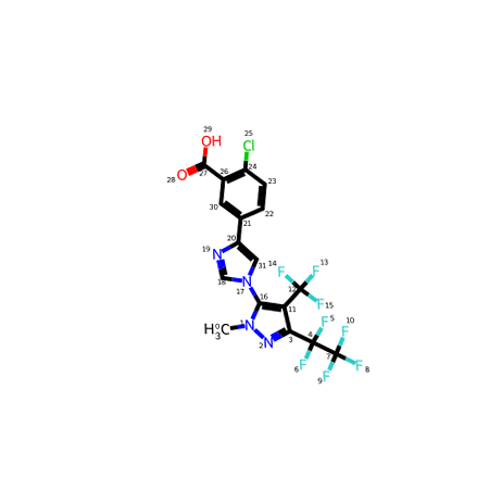 Cn1nc(C(F)(F)C(F)(F)F)c(C(F)(F)F)c1-n1cnc(-c2ccc(Cl)c(C(=O)O)c2)c1